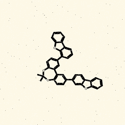 CC1(C)Oc2ccc(-c3ccc4c(c3)oc3ccccc34)cc2-c2cc(-c3cccc4c3oc3ccccc34)ccc2O1